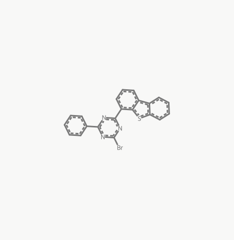 Brc1nc(-c2ccccc2)nc(-c2cccc3c2sc2ccccc23)n1